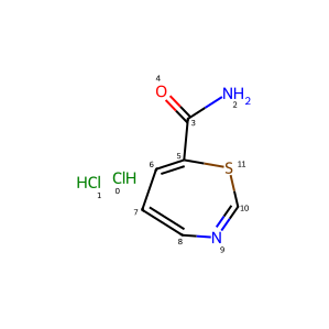 Cl.Cl.NC(=O)C1=CC=CN=CS1